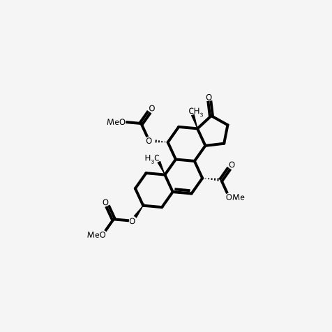 COC(=O)O[C@H]1CC[C@@]2(C)C(=C[C@@H](C(=O)OC)C3C2[C@H](OC(=O)OC)C[C@]2(C)C(=O)CCC32)C1